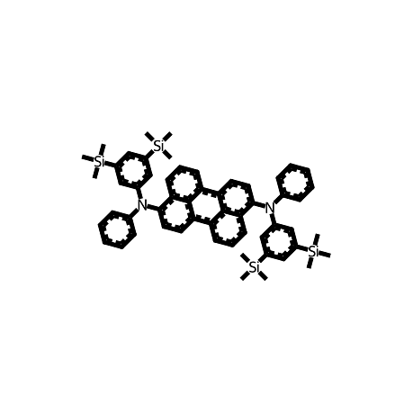 C[Si](C)(C)c1cc(N(c2ccccc2)c2ccc3c4cccc5c(N(c6ccccc6)c6cc([Si](C)(C)C)cc([Si](C)(C)C)c6)ccc(c6cccc2c63)c54)cc([Si](C)(C)C)c1